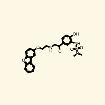 CN(C)S(=O)(=O)Nc1cc(C(O)CNCCOc2ccc3oc4ccccc4c3c2)ccc1O